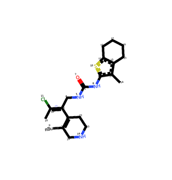 CCCCC1=C(/C(CNC(=O)Nc2sc3c(c2C)CCCC3)=C(\C)Cl)CCNC1